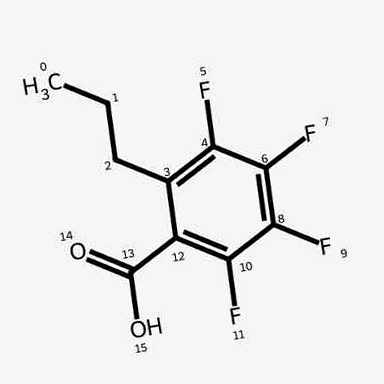 CCCc1c(F)c(F)c(F)c(F)c1C(=O)O